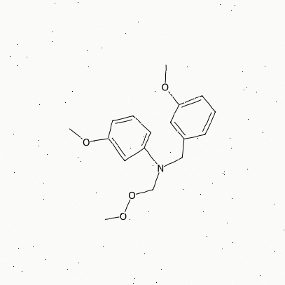 COOCN(Cc1cccc(OC)c1)c1cccc(OC)c1